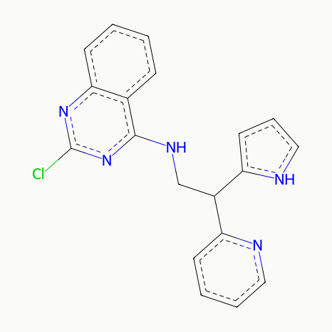 Clc1nc(NCC(c2ccccn2)c2ccc[nH]2)c2ccccc2n1